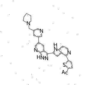 CC(=O)c1ccc(-c2nccc3[nH]c(-c4n[nH]c5ncc(-c6cncc(CN7CCCCC7)c6)cc45)cc23)s1